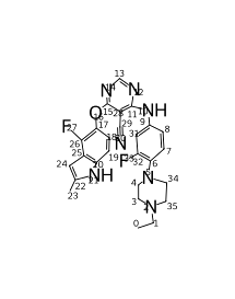 CCN1CCN(c2ccc(Nc3ncnc(Oc4ccc5[nH]c(C)cc5c4F)c3C#N)cc2F)CC1